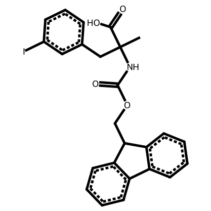 CC(Cc1cccc(I)c1)(NC(=O)OCC1c2ccccc2-c2ccccc21)C(=O)O